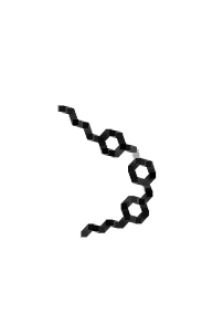 CCCCCC1CCC(C[C@H]2CC[C@H](CC3CCC(CCCCC)CC3)CC2)CC1